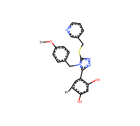 CCOc1ccc(Cn2c(SCc3cccnc3)nnc2-c2cc(C(C)C)c(O)cc2O)cc1